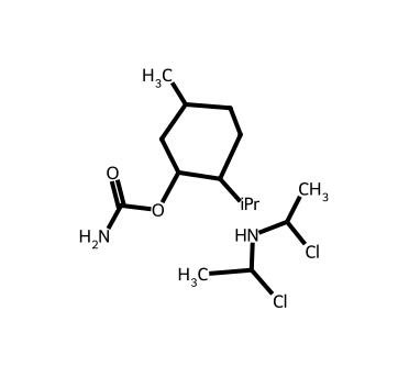 CC(Cl)NC(C)Cl.CC1CCC(C(C)C)C(OC(N)=O)C1